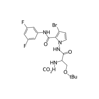 CC(C)(C)OCC(NC(=O)O)C(=O)Nn1ccc(Br)c1C(=O)Nc1cc(F)cc(F)c1